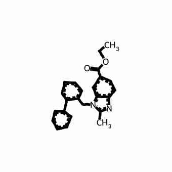 CCOC(=O)c1ccc2nc(C)n(Cc3ccccc3-c3ccccc3)c2c1